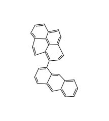 c1ccc2cc3c(-c4ccc5ccc6cccc7ccc4c5c67)cccc3cc2c1